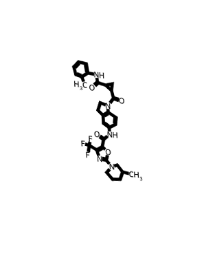 Cc1ccccc1NC(=O)C1CC1C(=O)N1CCc2cc(NC(=O)c3oc(N4CCCC(C)C4)nc3C(F)(F)F)ccc21